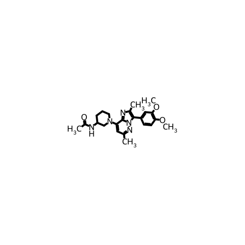 COc1ccc(-c2c(C)nc3c(N4CCCC(NC(C)=O)C4)cc(C)nn23)cc1OC